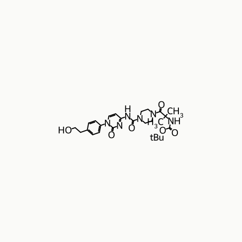 CC(C)(C)OC(=O)NC(C)(C)C(=O)N1CCN(C(=O)Nc2ccn(-c3ccc(CCO)cc3)c(=O)n2)CC1